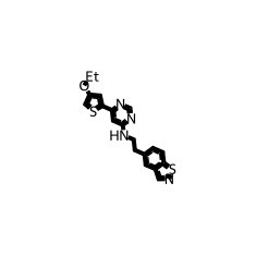 CCOc1csc(-c2cc(NCCc3ccc4sncc4c3)ncn2)c1